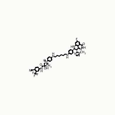 Cn1ncnc1[C@H]1c2n[nH]c(=O)c3cc(F)cc(c23)N[C@@H]1c1ccc(NCCCCCCNc2ccc(S(=O)(=O)CC(C)(O)C(=O)Nc3ccc(C#N)c(C(F)(F)F)c3)cc2)cc1